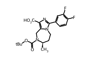 C[C@@H]1CCn2c(-c3ccc(F)c(F)c3)nc(C(=O)O)c2CN1C(=O)OC(C)(C)C